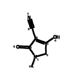 [CH2]N1CC(O)=C(C#N)C1=O